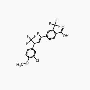 COc1ccc(C(/C=C(\F)c2ccc(C(=O)O)c(C(F)(F)F)c2)C(F)(F)F)cc1Cl